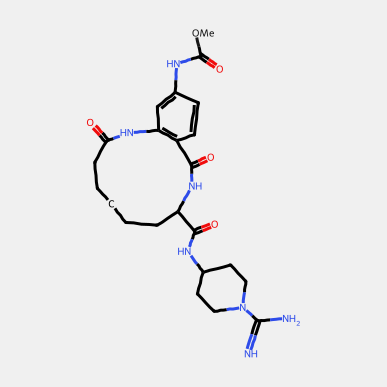 COC(=O)Nc1ccc2c(c1)NC(=O)CCCCCC(C(=O)NC1CCN(C(=N)N)CC1)NC2=O